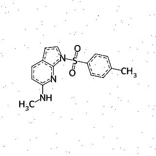 CNc1ccc2ccn(S(=O)(=O)c3ccc(C)cc3)c2n1